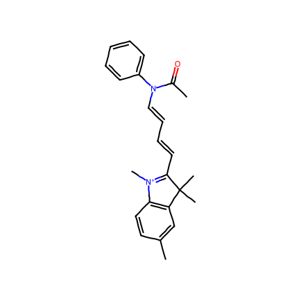 CC(=O)N(/C=C/C=C/C1=[N+](C)c2ccc(C)cc2C1(C)C)c1ccccc1